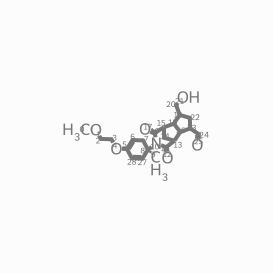 COCCOC1=CC[C@](C)(N2C(=O)C3CC(C2=O)C2C(CO)CC(C=O)C32)C=C1